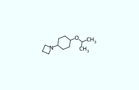 CC(C)OC1CCC(N2CCC2)CC1